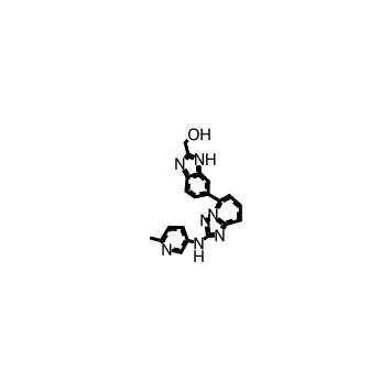 Cc1ccc(Nc2nc3cccc(-c4ccc5nc(CO)[nH]c5c4)n3n2)cn1